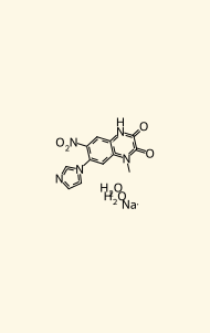 Cn1c(=O)c(=O)[nH]c2cc([N+](=O)[O-])c(-n3ccnc3)cc21.O.O.[Na]